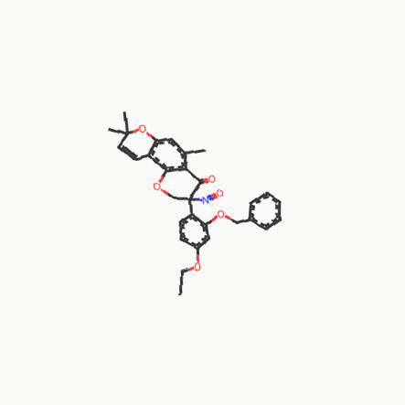 CCOc1ccc(C2(N=O)COc3c4c(cc(C)c3C2=O)OC(C)(C)C=C4)c(OCc2ccccc2)c1